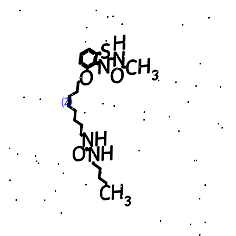 CCCCCNC(=O)NCCCC/C=C\CCOc1cccc2sc(NC(C)=O)nc12